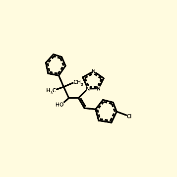 CC(C)(c1ccccc1)C(O)/C(=C/c1ccc(Cl)cc1)n1cncn1